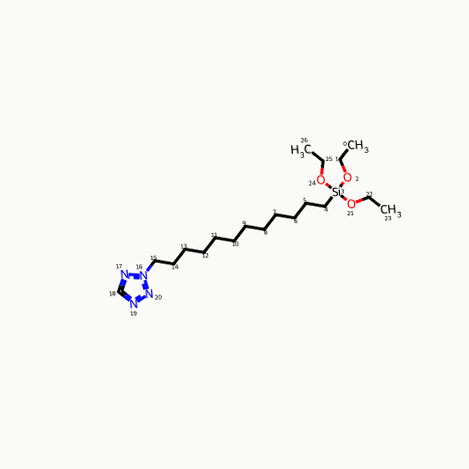 CCO[Si](CCCCCCCCCCCCn1ncnn1)(OCC)OCC